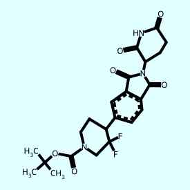 CC(C)(C)OC(=O)N1CCC(c2ccc3c(c2)C(=O)N(C2CCC(=O)NC2=O)C3=O)C(F)(F)C1